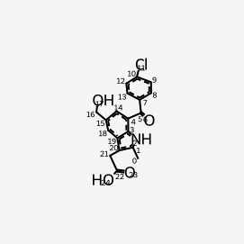 Cc1[nH]c2c(C(=O)c3ccc(Cl)cc3)cc(CO)cc2c1CC(=O)O